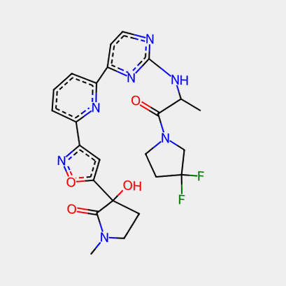 CC(Nc1nccc(-c2cccc(-c3cc(C4(O)CCN(C)C4=O)on3)n2)n1)C(=O)N1CCC(F)(F)C1